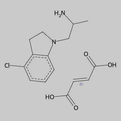 CC(N)CN1CCc2c(Cl)cccc21.O=C(O)/C=C/C(=O)O